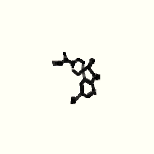 CB(O)N1CCC2(CC1)C(=O)Nc1ncc(Br)cc12